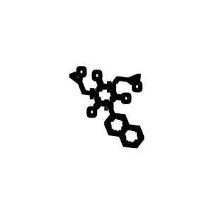 O=c1n(CC2=CO2)c(=O)n(-c2ccc3ccccc3c2)c(=O)n1CC1CO1